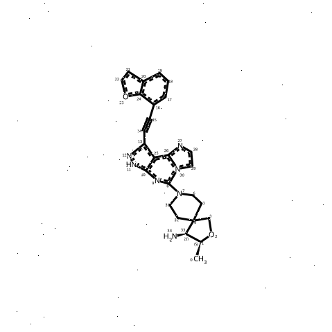 C[C@@H]1OCC2(CCN(c3nc4[nH]nc(C#Cc5cccc6ccoc56)c4c4nccn34)CC2)[C@@H]1N